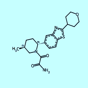 C[C@H]1CC[C@H](c2ccc3sc(C4CCOCC4)nc3c2)N(C(=O)C(N)=O)C1